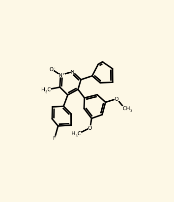 COc1cc(OC)cc(-c2c(-c3ccccc3)n[n+]([O-])c(C)c2-c2ccc(F)cc2)c1